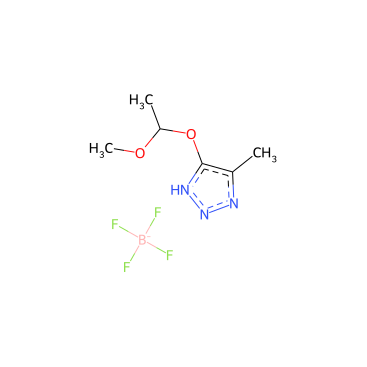 COC(C)Oc1[nH]nnc1C.F[B-](F)(F)F